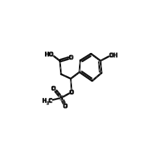 CS(=O)(=O)OC(CC(=O)O)c1ccc(O)cc1